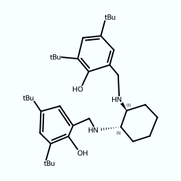 CC(C)(C)c1cc(CN[C@H]2CCCC[C@@H]2NCc2cc(C(C)(C)C)cc(C(C)(C)C)c2O)c(O)c(C(C)(C)C)c1